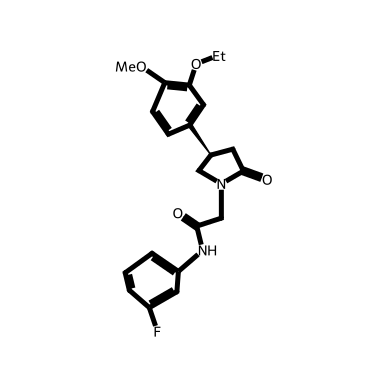 CCOc1cc([C@H]2CC(=O)N(CC(=O)Nc3cccc(F)c3)C2)ccc1OC